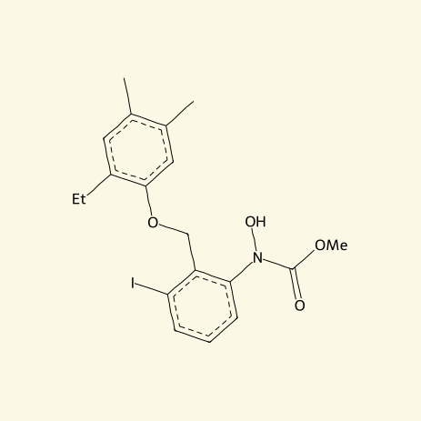 CCc1cc(C)c(C)cc1OCc1c(I)cccc1N(O)C(=O)OC